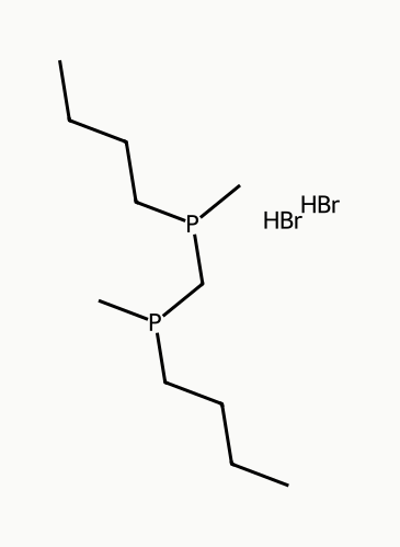 Br.Br.CCCCP(C)CP(C)CCCC